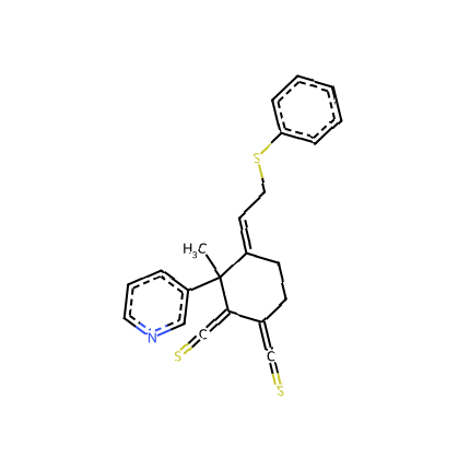 CC1(c2cccnc2)C(=C=S)C(=C=S)CCC1=CCSc1ccccc1